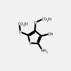 CCOC(=O)Oc1sc(N)c(C#N)c1OC(=O)OCC